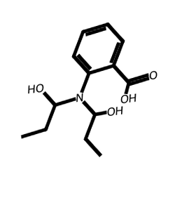 CCC(O)N(c1ccccc1C(=O)O)C(O)CC